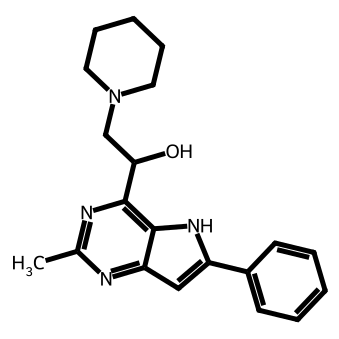 Cc1nc(C(O)CN2CCCCC2)c2[nH]c(-c3ccccc3)cc2n1